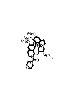 C=C[C@H]1CN2CCc3cc(OC)c(OC)cc3[C@@H]2C[C@@H]1C[C@@H]1C2CC(OC)=C(OC)C=C2CCN1C(=O)N1CCOCC1